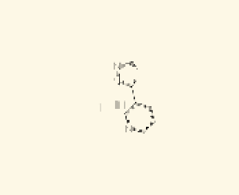 Cl.Cl.c1cncc(-c2nnco2)c1